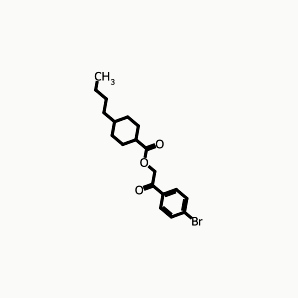 CCCCC1CCC(C(=O)OCC(=O)c2ccc(Br)cc2)CC1